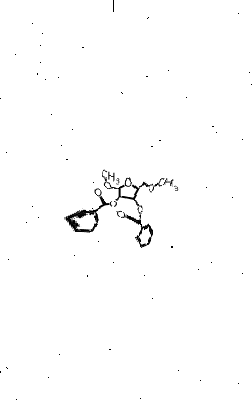 COC[C@@H]1O[C@H](OC)[C@H](OC(=O)c2ccccc2)[C@@H]1OC(=O)c1ccccc1